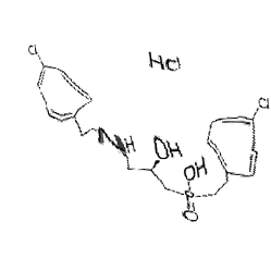 Cl.O=P(O)(Cc1ccc(Cl)cc1)C[C@H](O)CNCc1ccc(Cl)cc1